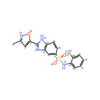 Cc1cc(-c2nc3cc(S(=O)(=O)Nc4ccccc4Cl)ccc3[nH]2)on1